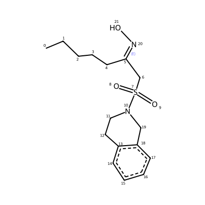 CCCCC/C(CS(=O)(=O)N1CCc2ccccc2C1)=N\O